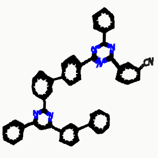 N#Cc1cccc(-c2nc(-c3ccccc3)nc(-c3ccc(-c4cccc(-c5nc(-c6ccccc6)cc(-c6cccc(-c7ccccc7)c6)n5)c4)cc3)n2)c1